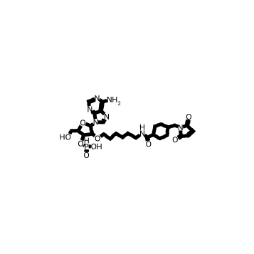 Nc1ncnc2c1ncn2C1OC(CO)C(O[PH](=O)O)C1OCCCCCCNC(=O)C1CCC(CN2C(=O)C=CC2=O)CC1